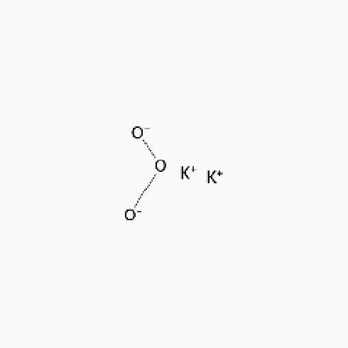 [K+].[K+].[O-]O[O-]